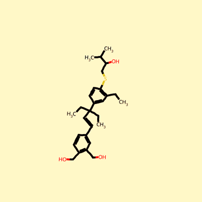 CCc1cc(C(C=Cc2ccc(CO)c(CO)c2)(CC)CC)ccc1SCC(O)C(C)C